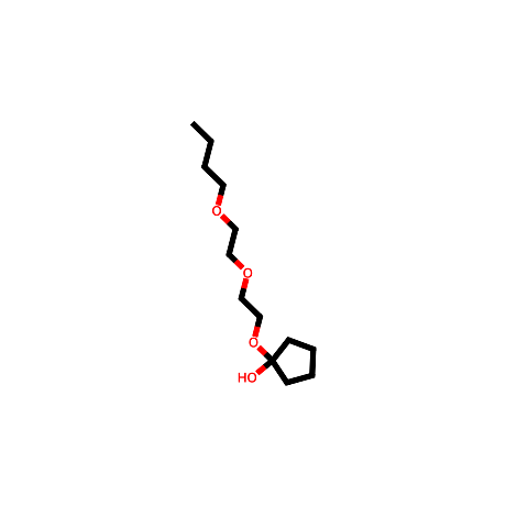 CCCCOCCOCCOC1(O)CCCC1